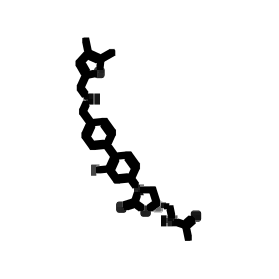 CC(=O)NC[C@H]1CN(c2ccc(-c3ccc(CNCc4cc(C)c(C)o4)cc3)c(F)c2)C(=O)O1